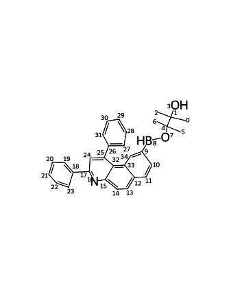 CC(C)(O)C(C)(C)OBc1ccc2ccc3nc(-c4ccccc4)cc(-c4ccccc4)c3c2c1